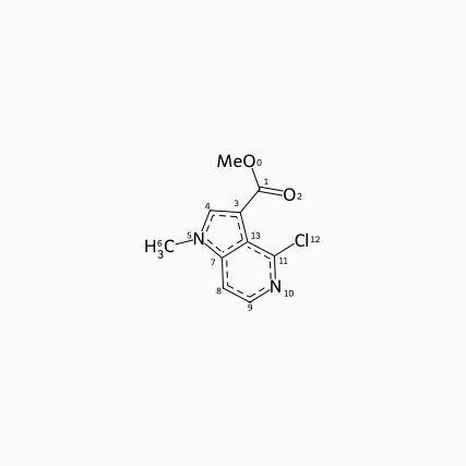 COC(=O)c1cn(C)c2ccnc(Cl)c12